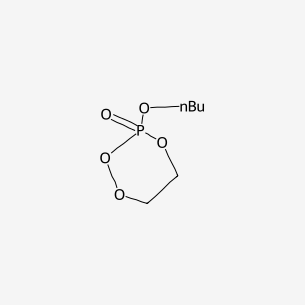 CCCCOP1(=O)OCCOO1